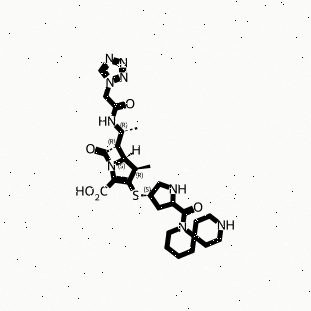 C[C@@H](NC(=O)Cn1cnnn1)[C@H]1C(=O)N2C(C(=O)O)=C(S[C@@H]3CNC(C(=O)N4CCCCC45CCNCC5)C3)[C@H](C)[C@H]12